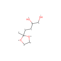 CC1(CCC(O)CO)OCCO1